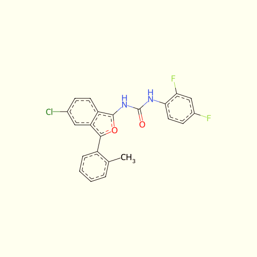 Cc1ccccc1-c1oc(NC(=O)Nc2ccc(F)cc2F)c2ccc(Cl)cc12